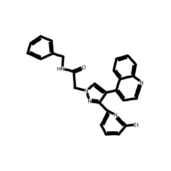 CCc1cccc(-c2nn(CC(=O)NCc3ccccc3)cc2-c2ccnc3ccccc23)n1